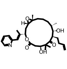 C=CCC[C@H]1C(=O)C(C)(C)[C@@H](O)CC(=O)O[C@H](C(C)=Cc2ccccn2)C[C@@H]2O[C@]2(C)CCC[C@H](C)[C@@H]1O